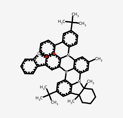 Cc1cc2c3c(c1)N1c4c(cc(C(C)(C)C)cc4C4(C)CCCCC14C)B3c1cc3c(cc1N2c1ccc(C(C)(C)C)cc1-c1ccccc1)oc1ccccc13